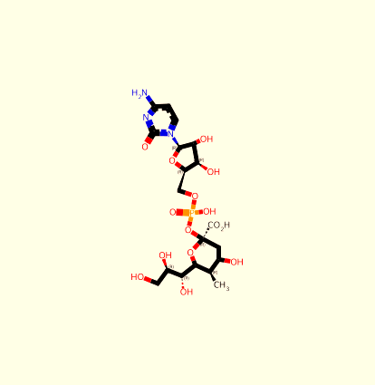 C[C@@H]1C(O)C[C@@](OP(=O)(O)OC[C@H]2O[C@@H](n3ccc(N)nc3=O)C(O)[C@H]2O)(C(=O)O)OC1[C@H](O)[C@H](O)CO